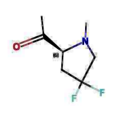 CC(=O)[C@@H]1CC(F)(F)CN1C